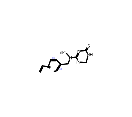 C=CC(=C)/C=C\C(=C/C)CN(CCC)C1=NC(=S)NCN1